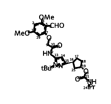 COc1cc(OC)c(C=O)c(OCC(=O)Nc2cc([C@H]3CC[C@@H](OC(=O)NC(C)C)C3)nn2C(C)(C)C)c1